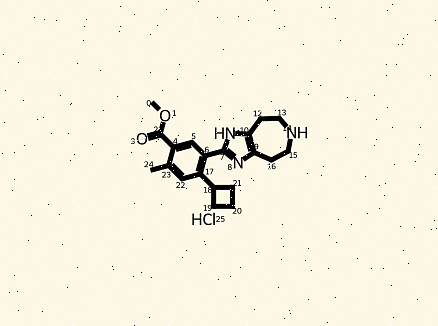 COC(=O)c1cc(-c2nc3c([nH]2)CCNCC3)c(C2CCC2)cc1C.Cl